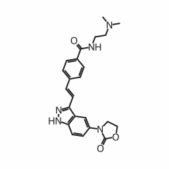 CN(C)CCNC(=O)c1ccc(C=Cc2n[nH]c3ccc(N4CCOC4=O)cc23)cc1